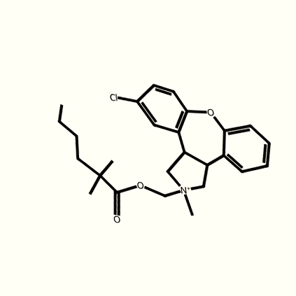 CCCCC(C)(C)C(=O)OC[N+]1(C)CC2c3ccccc3Oc3ccc(Cl)cc3C2C1